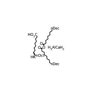 CCCCCCCC/C=C\CCCCCCCC(=O)O.CCCCCCCCCCCCCCCCCC(=O)OC(=O)CCCCCCCCCCCCCCCCC.[AlH3].[CaH2].[KH]